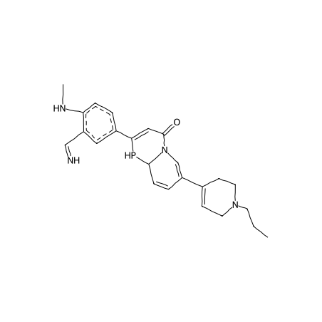 CCCN1CC=C(C2=CN3C(=O)C=C(c4ccc(NC)c(C=N)c4)PC3C=C2)CC1